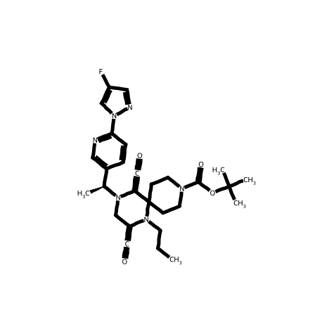 CCCN1C(=C=O)CN([C@@H](C)c2ccc(-n3cc(F)cn3)nc2)C(=C=O)C12CCN(C(=O)OC(C)(C)C)CC2